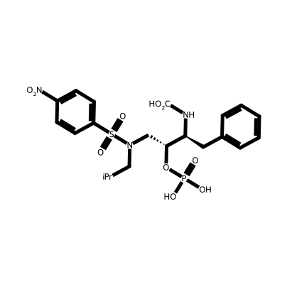 CC(C)CN(C[C@@H](OP(=O)(O)O)[C@H](Cc1ccccc1)NC(=O)O)S(=O)(=O)c1ccc([N+](=O)[O-])cc1